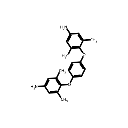 Cc1cc(N)cc(C)c1Oc1ccc(Oc2c(C)cc(N)cc2C)cc1